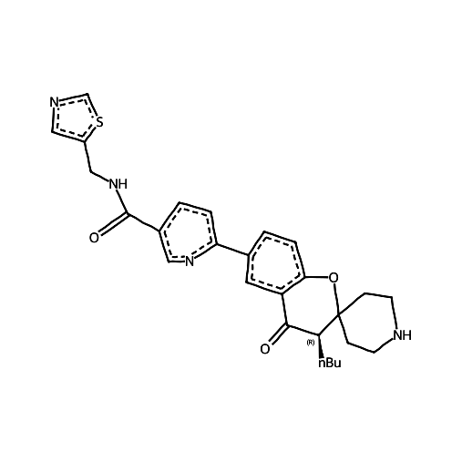 CCCC[C@H]1C(=O)c2cc(-c3ccc(C(=O)NCc4cncs4)cn3)ccc2OC12CCNCC2